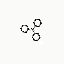 [HH].c1ccc([As](c2ccccc2)c2ccccc2)cc1